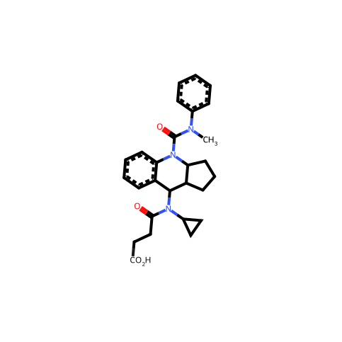 CN(C(=O)N1c2ccccc2C(N(C(=O)CCC(=O)O)C2CC2)C2CCCC21)c1ccccc1